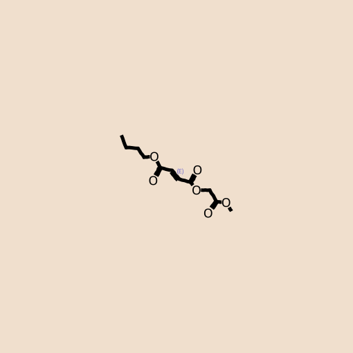 CCCCOC(=O)/C=C/C(=O)OCC(=O)OC